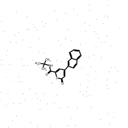 CC(C)(C)NC(=O)c1cc(-c2ccc3ccccc3c2)cc(=O)o1